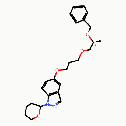 C[C@@H](COCCCOc1ccc2c(cnn2C2CCCCO2)c1)OCc1ccccc1